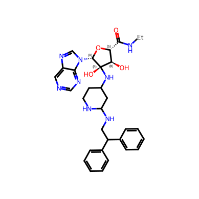 CCNC(=O)[C@H]1O[C@@H](n2cnc3cncnc32)[C@@](O)(NC2CCNC(NCC(c3ccccc3)c3ccccc3)C2)[C@@H]1O